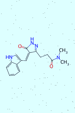 CN(C)C(=O)CCC1=NNC(=O)/C1=C\c1c[nH]c2ccccc12